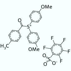 COc1ccc([S+](C(=O)c2ccc(C)cc2)c2ccc(OC)cc2)cc1.O=S(=O)([O-])c1c(F)c(F)c(F)c(F)c1F